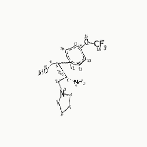 N[C@H](CN1CCCC1)C(CO)c1ccc(OC(F)(F)F)cc1